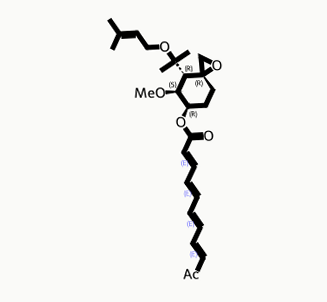 CO[C@H]1[C@H](C(C)(C)OCC=C(C)C)[C@]2(CC[C@H]1OC(=O)/C=C/C=C/C=C/C=C/C(C)=O)CO2